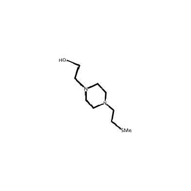 CSCCN1CCN(CCO)CC1